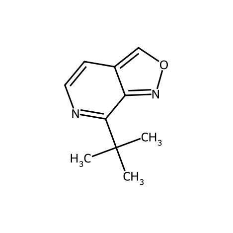 CC(C)(C)c1nccc2conc12